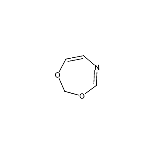 C1=COCOC=N1